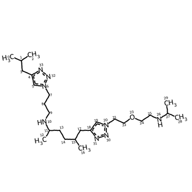 CC(C)Cc1cn(CCCNC(C)CCC(C)Cc2cn(CCOCCNC(C)C)nn2)nn1